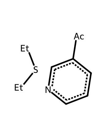 CC(=O)c1cccnc1.CCSCC